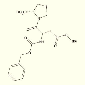 CC(C)(C)OC(=O)C[C@H](NC(=O)OCc1ccccc1)C(=O)N1CSC[C@H]1C(=O)O